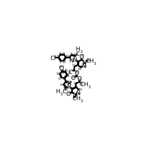 Cc1cc(-c2ccc(Cl)cc2)nn1-c1c(CC(C)OC(=O)OC(C)Cc2cnn(C)c(=O)c2-n2nc(-c3ccc(Cl)cc3)cc2C)cnn(C)c1=O